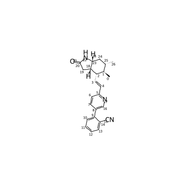 C[C@H]1[C@H](/C=C/c2ccc(-c3ccccc3C#N)cn2)[C@@H]2CC(=O)N[C@@H]2C[C@@H]1C